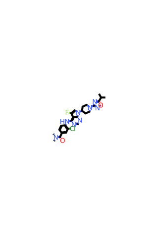 CC(C)c1nc(N2CCC(n3cc(F)c4c(Nc5ccc(C(=O)N(C)C)cc5Cl)ncnc43)CC2)no1